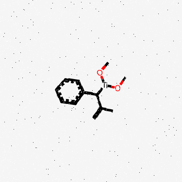 C=C(C)[CH](c1ccccc1)[Ti]([O]C)[O]C